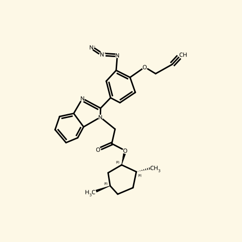 C#CCOc1ccc(-c2nc3ccccc3n2CC(=O)O[C@@H]2C[C@H](C)CC[C@H]2C)cc1N=[N+]=[N-]